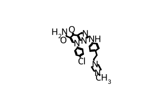 CN1CCN(CCc2ccc(Nc3ncc4c(=O)c(C(N)=O)cn(-c5ccc(Cl)cc5)c4n3)cc2)CC1